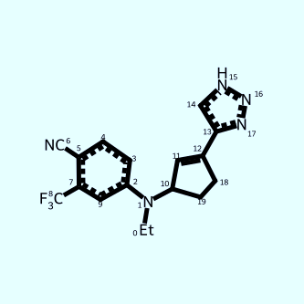 CCN(c1ccc(C#N)c(C(F)(F)F)c1)C1C=C(c2c[nH]nn2)CC1